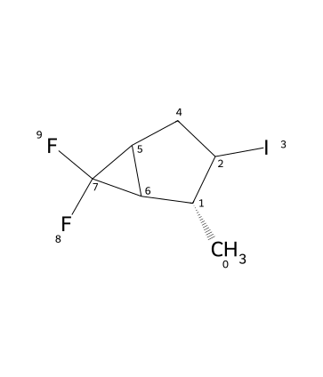 C[C@H]1C(I)CC2C1C2(F)F